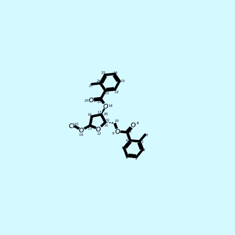 Cc1ccccc1C(=O)OC[C@@H]1OC(OCl)C[C@H]1OC(=O)c1ccccc1C